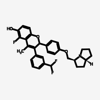 CC1=C(c2cccc(C(F)F)c2)C(c2ccc(OC[C@@H]3CC[C@@H]4CCCN43)cc2)Oc2ccc(O)c(F)c21